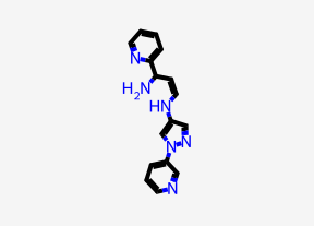 NC(/C=C\Nc1cnn(-c2cccnc2)c1)c1ccccn1